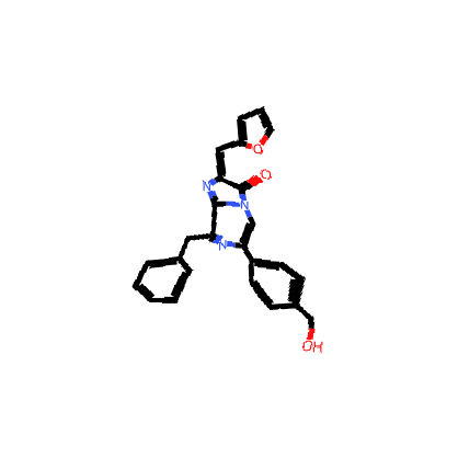 O=C1C(=Cc2ccco2)N=C2C(Cc3ccccc3)=NC(c3ccc(CO)cc3)=CN12